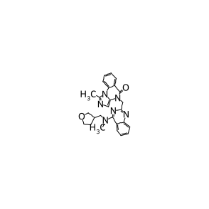 Cc1ncc2n(Cc3nc(N(C)CC4CCOC4)c4ccccc4n3)c(=O)c3ccccc3n12